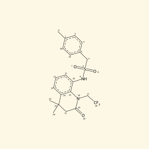 Cc1ccc(CS(=O)(=O)Nc2cccc3c2N(CC(F)(F)F)C(=O)CC3(C)C)cc1